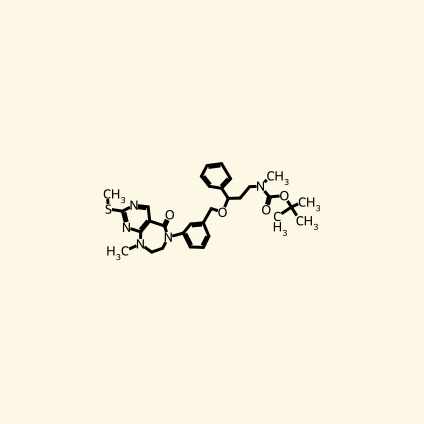 CSc1ncc2c(n1)N(C)CCN(c1cccc(COC(CCN(C)C(=O)OC(C)(C)C)c3ccccc3)c1)C2=O